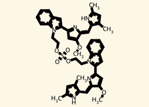 COC1=CC(c2cc3ccccc3n2CCOS(=O)(=O)OCCn2c(C3=NC(=Cc4[nH]c(C)cc4C)C(OC)=C3)cc3ccccc32)=NC1=Cc1[nH]c(C)cc1C